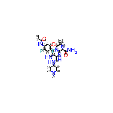 C=CC(=O)Nc1cc(Oc2nc(N/C(C=N)=C/NC3CCN(C)CC3)c(C(N)=O)nc2CC)c(F)cc1F